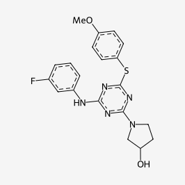 COc1ccc(Sc2nc(Nc3cccc(F)c3)nc(N3CCC(O)C3)n2)cc1